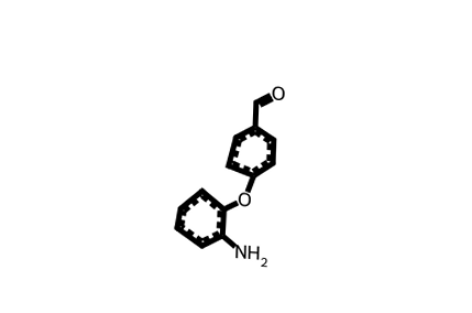 Nc1ccccc1Oc1ccc(C=O)cc1